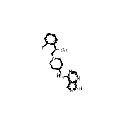 O[C@@H](CN1CCC(Nc2ncnc3[nH]ncc23)CC1)c1ccccc1F